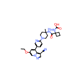 CCOc1cc(-c2ccc(N3CCC(C)(NC(=O)C4(NC(=O)O)CCC4)CC3)nc2)c2c(C#N)cnn2c1